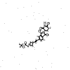 CC(C)(C)OC(=O)CN1CC(C#Cc2ccc3c(c2)C(=O)N(C2CCC(=O)NC2=O)C3=O)C1